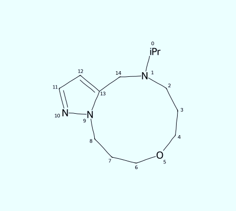 CC(C)N1CCCOCCCn2nccc2C1